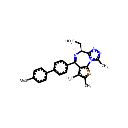 CSc1ccc(-c2ccc(C3=N[C@@H](CC(=O)O)c4nnc(C)n4-c4sc(C)c(C)c43)cc2)cc1